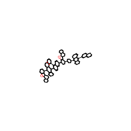 c1ccc(-c2c(-c3c4ccccc4c(-c4cccc5oc6c7ccccc7ccc6c45)c4ccccc34)ccc3cc(-c4ccc(-c5ccc(-c6c7ccccc7c(-c7ccc8ccccc8c7)c7ccccc67)cc5)c5c4oc4c6ccccc6ccc45)ccc23)cc1